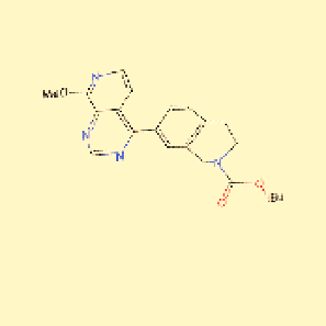 COc1nccc2c(-c3ccc4c(c3)CN(C(=O)OC(C)(C)C)CC4)ncnc12